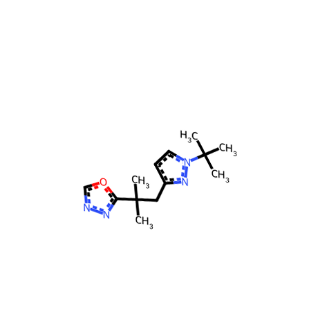 CC(C)(Cc1ccn(C(C)(C)C)n1)c1nnco1